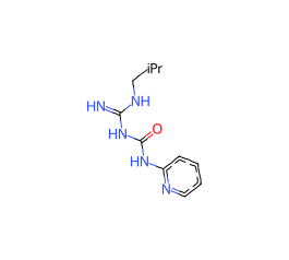 CC(C)CNC(=N)NC(=O)Nc1ccccn1